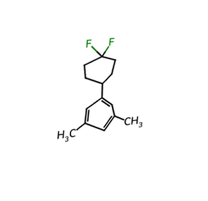 Cc1cc(C)cc(C2CCC(F)(F)CC2)c1